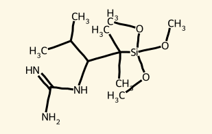 CO[Si](OC)(OC)C(C)(C)C(NC(=N)N)C(C)C